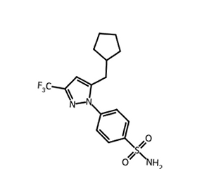 NS(=O)(=O)c1ccc(-n2nc(C(F)(F)F)cc2CC2CCCC2)cc1